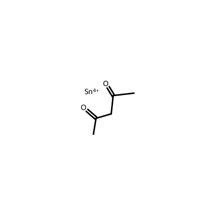 CC(=O)CC(C)=O.[Sn+4]